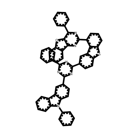 c1ccc(-c2nc(-c3ccc4sc5cccc(-c6nc(-c7ccccc7)c7oc8ccccc8c7n6)c5c4c3)nc(-c3ccc4c(c3)c3ccccc3n4-c3ccccc3)n2)cc1